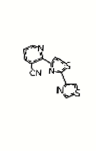 N#Cc1cccnc1-c1csc(-c2cscn2)n1